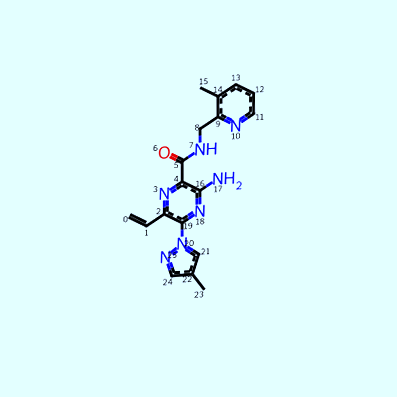 C=Cc1nc(C(=O)NCc2ncccc2C)c(N)nc1-n1cc(C)cn1